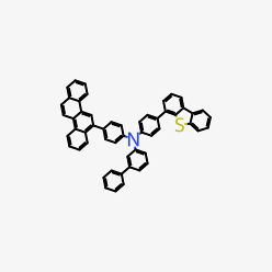 c1ccc(-c2cccc(N(c3ccc(-c4cc5c6ccccc6ccc5c5ccccc45)cc3)c3ccc(-c4cccc5c4sc4ccccc45)cc3)c2)cc1